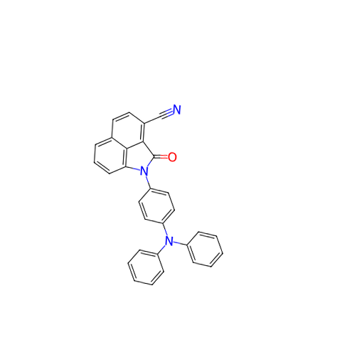 N#Cc1ccc2cccc3c2c1C(=O)N3c1ccc(N(c2ccccc2)c2ccccc2)cc1